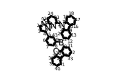 Cn1ccc(-c2cccc(B(c3ccc4c5ccccc5n(-c5ccccn5)c4c3)c3cccc4c3oc3ccccc34)c2)n1